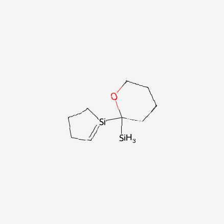 [SiH3]C1([Si]2=CCCC2)CCCCO1